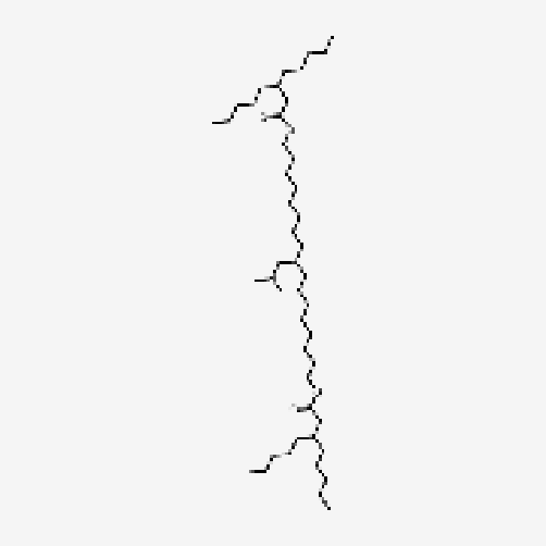 CCCCCC(CCCCC)CC(=O)OCCCCCCCCC(CCCCCCCCOC(=O)CC(CCCCC)CCCCC)CN(C)C